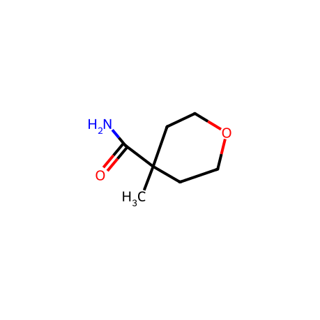 CC1(C(N)=O)CCOCC1